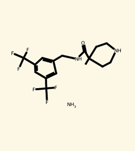 CC1(C(=O)NCc2cc(C(F)(F)F)cc(C(F)(F)F)c2)CCNCC1.N